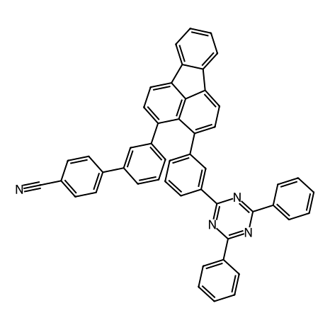 N#Cc1ccc(-c2cccc(-c3ccc4c5c(ccc(-c6cccc(-c7nc(-c8ccccc8)nc(-c8ccccc8)n7)c6)c35)-c3ccccc3-4)c2)cc1